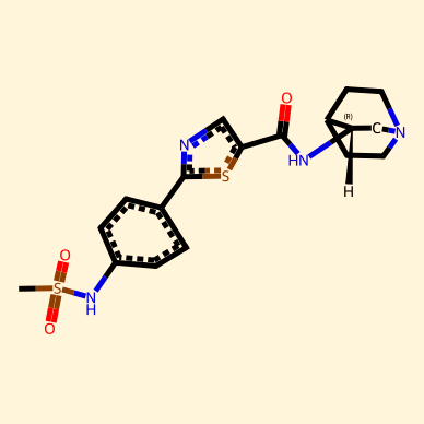 CS(=O)(=O)Nc1ccc(-c2ncc(C(=O)N[C@H]3CN4CCC3CC4)s2)cc1